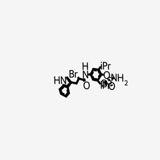 CC(C)c1cc(NC(=O)C(Br)Cc2c[nH]c3ccccc23)cc(C(C)C)c1OS(N)(=O)=O